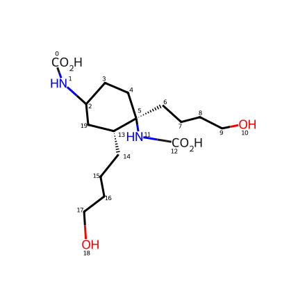 O=C(O)NC1CC[C@@](CCCCO)(NC(=O)O)[C@H](CCCCO)C1